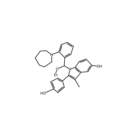 CCOC(c1ccccc1N1CCCCCC1)n1c(-c2ccc(O)cc2)c(C)c2cc(O)ccc21